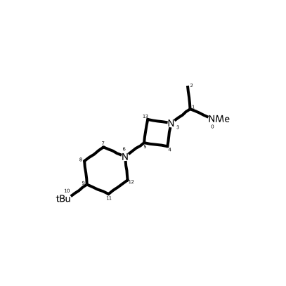 CNC(C)N1CC(N2CCC(C(C)(C)C)CC2)C1